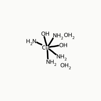 O.O.[NH2][Cu]([NH2])([NH2])([NH2])([OH])[OH]